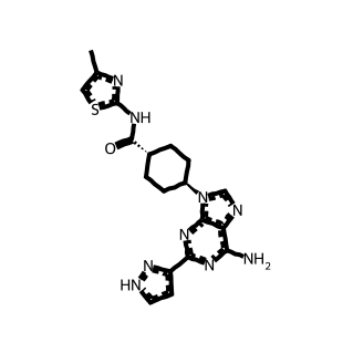 Cc1csc(NC(=O)[C@H]2CC[C@H](n3cnc4c(N)nc(-c5cc[nH]n5)nc43)CC2)n1